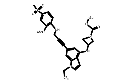 COc1cc(S(C)(=O)=O)ccc1NCC#Cc1cc(NC2CN(C(=O)OC(C)(C)C)C2)c2ccn(CC(F)(F)F)c2c1